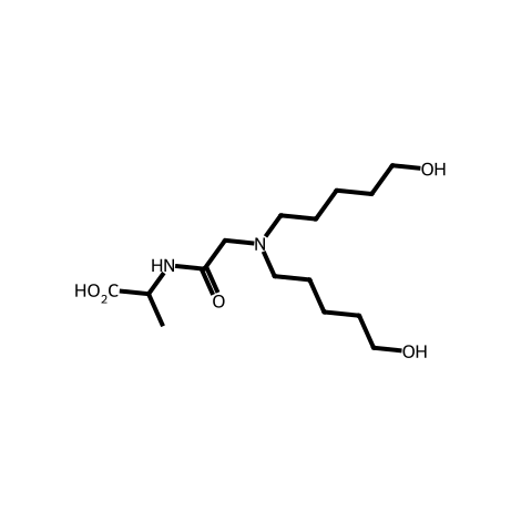 CC(NC(=O)CN(CCCCCO)CCCCCO)C(=O)O